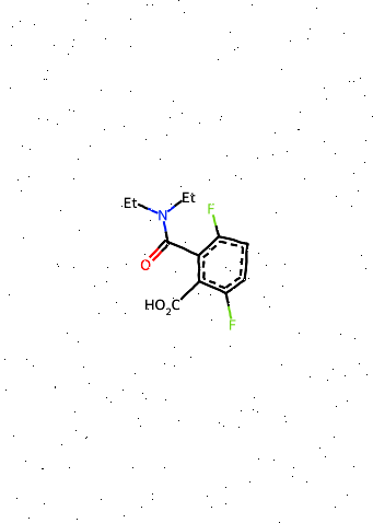 CCN(CC)C(=O)c1c(F)ccc(F)c1C(=O)O